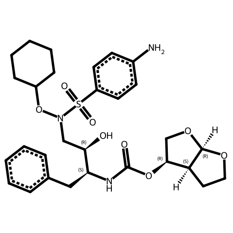 Nc1ccc(S(=O)(=O)N(C[C@@H](O)[C@H](Cc2ccccc2)NC(=O)O[C@H]2CO[C@H]3OCC[C@H]32)OC2CCCCC2)cc1